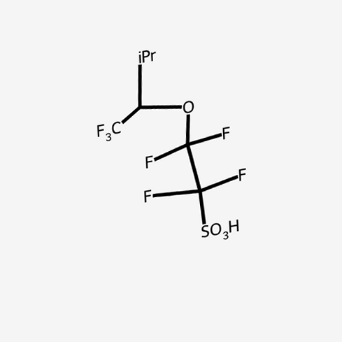 CC(C)C(OC(F)(F)C(F)(F)S(=O)(=O)O)C(F)(F)F